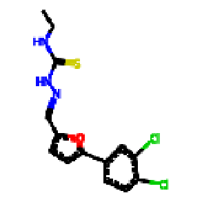 CCNC(=S)NN=Cc1ccc(-c2ccc(Cl)c(Cl)c2)o1